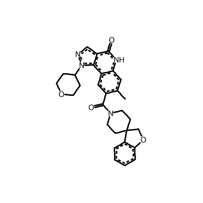 Cc1cc2[nH]c(=O)c3cnn(C4CCOCC4)c3c2cc1C(=O)N1CCC2(CC1)COc1ccccc12